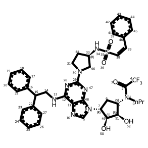 CCCN(C(=O)C(F)(F)F)[C@H]1C[C@@H](n2cnc3c(NCC(c4ccccc4)c4ccccc4)nc(N4CC[C@@H](NS(=O)(=O)C=Cc5ccccc5)C4)nc32)[C@H](O)[C@@H]1O